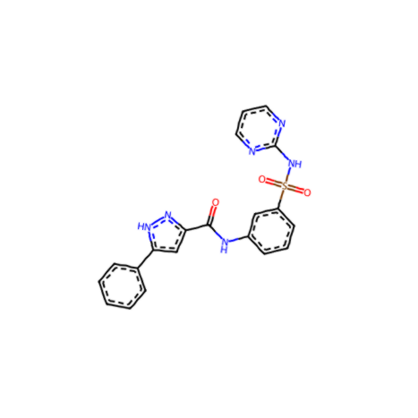 O=C(Nc1cccc(S(=O)(=O)Nc2ncccn2)c1)c1cc(-c2ccccc2)[nH]n1